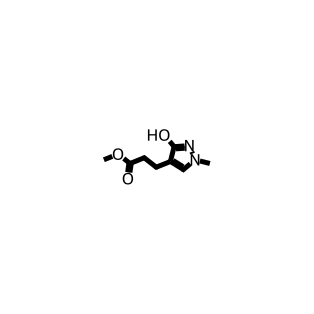 COC(=O)CCc1cn(C)nc1O